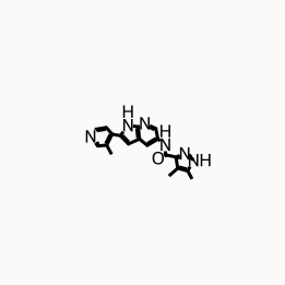 Cc1cnccc1-c1cc2cc(NC(=O)c3n[nH]c(C)c3C)cnc2[nH]1